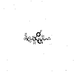 CNC(=O)C1(C)COC(c2nc(-c3ccc(F)cc3)c(-c3ccnc(NCCCOC)n3)[nH]2)OC1